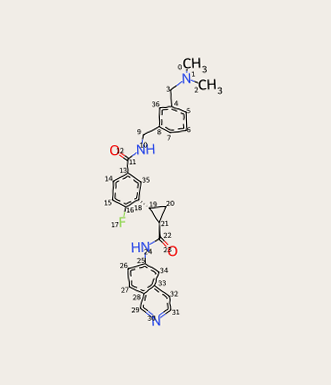 CN(C)Cc1cccc(CNC(=O)c2ccc(F)c([C@@H]3C[C@H]3C(=O)Nc3ccc4cnccc4c3)c2)c1